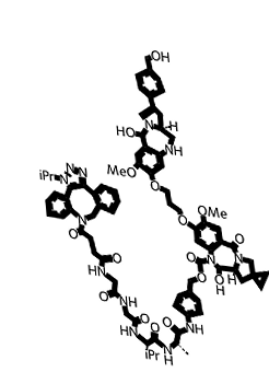 COc1cc2c(cc1OCCCOc1cc3c(cc1OC)C(=O)N1CC4(CC4)C[C@H]1C(O)N3C(=O)OCc1ccc(NC(=O)[C@H](C)NC(=O)[C@@H](NC(=O)CNC(=O)CNC(=O)CCC(=O)N3Cc4ccccc4-c4nnn(C(C)C)c4-c4ccccc43)C(C)C)cc1)NC[C@@H]1CC(c3ccc(CO)cc3)=CN1C2O